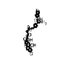 C[C@@H]1C[C@H]2[C@@H]3CCC4=CC(=O)C=C[C@]4(C)[C@@]3(F)[C@@H](O)C[C@]2(C)[C@@]1(O)C(=O)COC(=O)C1CC1C(=O)OCCc1ccc(C(CN)C(=O)Nc2ccc3cnccc3c2)cc1